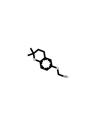 CC(C)(C)COc1ccc2c(c1)CCC(C)(C)O2